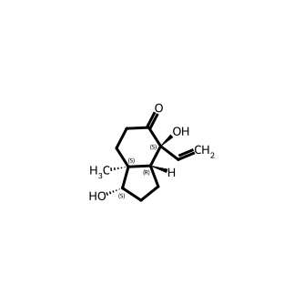 C=C[C@@]1(O)C(=O)CC[C@@]2(C)[C@H]1CC[C@@H]2O